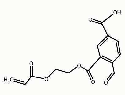 C=CC(=O)OCCOC(=O)c1cc(C(=O)O)ccc1C=O